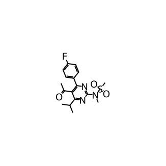 CC(=O)c1c(-c2ccc(F)cc2)nc(N(C)S(C)(=O)=O)nc1C(C)C